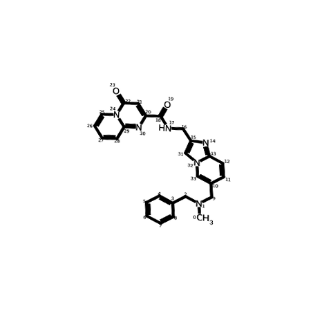 CN(Cc1ccccc1)Cc1ccc2nc(CNC(=O)c3cc(=O)n4ccccc4n3)cn2c1